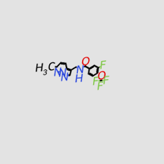 Cc1ccc2c(CNC(=O)c3ccc(OC(F)(F)F)c(F)c3)cnn2n1